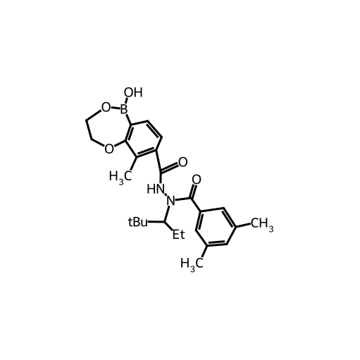 CCC(N(NC(=O)c1ccc2c(c1C)OCCOB2O)C(=O)c1cc(C)cc(C)c1)C(C)(C)C